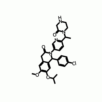 COc1cc2c(cc1OC(C)C)C(c1ccc(Cl)cc1)N(c1ccc(C(C)N3CCNCC3=O)nc1)C(=O)C2